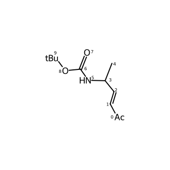 CC(=O)/C=C/C(C)NC(=O)OC(C)(C)C